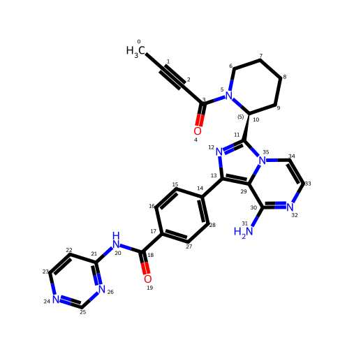 CC#CC(=O)N1CCCC[C@H]1c1nc(-c2ccc(C(=O)Nc3ccncn3)cc2)c2c(N)nccn12